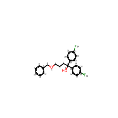 OC(CCCOCc1ccccc1)(c1ccc(F)cc1)c1ccc(F)cc1